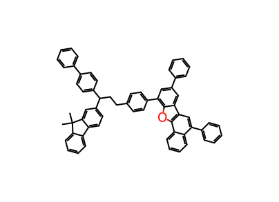 CC1(C)c2ccccc2-c2ccc(C(CCc3ccc(-c4cc(-c5ccccc5)cc5c4oc4c6ccccc6c(-c6ccccc6)cc54)cc3)c3ccc(-c4ccccc4)cc3)cc21